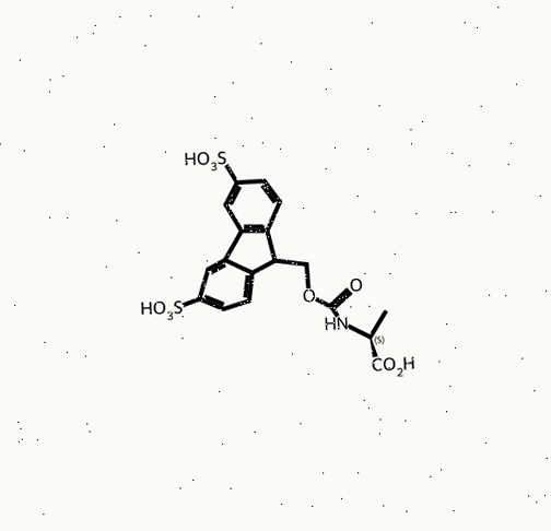 C[C@H](NC(=O)OCC1c2ccc(S(=O)(=O)O)cc2-c2cc(S(=O)(=O)O)ccc21)C(=O)O